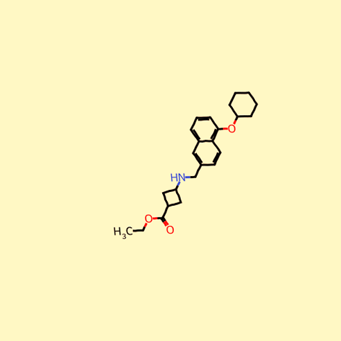 CCOC(=O)C1CC(NCc2ccc3c(OC4CCCCC4)cccc3c2)C1